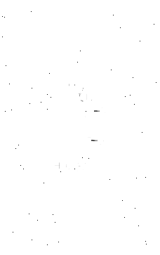 CC12CCC(C(=O)OCOC(=O)C3CCC4(C)OC4C3)CC1O2